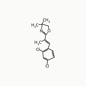 CC(=Cc1ccc(Cl)cc1Cl)C1=NC(C)(C)CO1